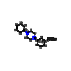 CN[C@@H]1CCC[C@H](N2CCN(C3CCCCC3)CC2)C1